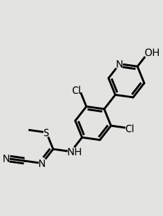 CS/C(=N\C#N)Nc1cc(Cl)c(-c2ccc(O)nc2)c(Cl)c1